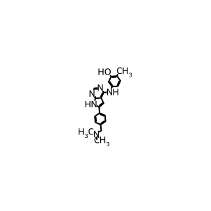 Cc1ccc(Nc2ncnc3[nH]c(-c4ccc(CN(C)C)cc4)cc23)cc1O